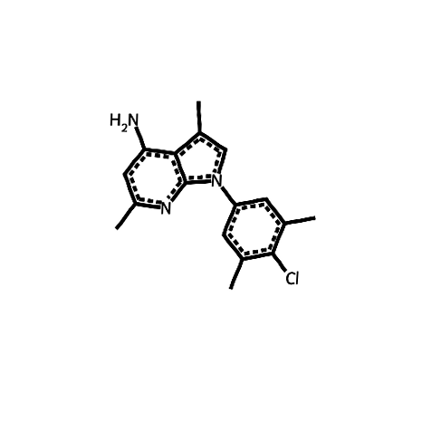 Cc1cc(N)c2c(C)cn(-c3cc(C)c(Cl)c(C)c3)c2n1